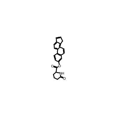 O=C1CCCC(C(=O)Oc2ccc3c(ccc4c5c(ccc43)C=CC5)c2)N1